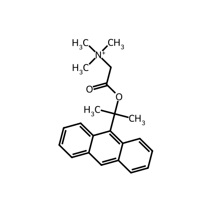 CC(C)(OC(=O)C[N+](C)(C)C)c1c2ccccc2cc2ccccc12